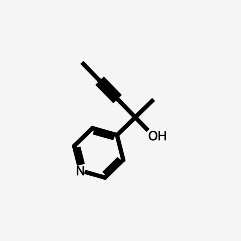 CC#CC(C)(O)c1ccncc1